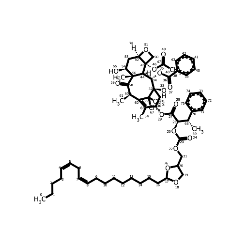 CCCC/C=C\C/C=C\CCCCCCCCC1OCC(COC(=O)O[C@@H](C(=O)O[C@H]2C[C@@]3(O)[C@@H](OC(=O)c4ccccc4)[C@@H]4[C@]5(OC(C)=O)CO[C@@H]5C[C@H](O)[C@@]4(C)C(=O)[C@H](C)C(=C2C)C3(C)C)[C@@H](C)c2ccccc2)O1